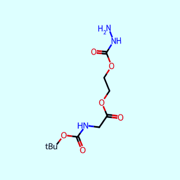 CC(C)(C)OC(=O)NCC(=O)OCCOC(=O)NN